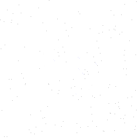 CC(C)N[C@@H](c1ccc(Nc2nn([C@@H](CC#N)C3CC3)c3cc[nH]c(=O)c23)cc1F)C(F)(F)F